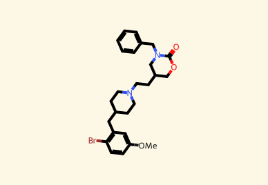 COc1ccc(Br)c(CC2CCN(CCC3COC(=O)N(Cc4ccccc4)C3)CC2)c1